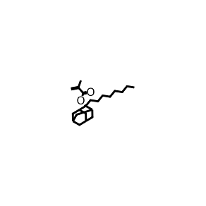 C=C(C)C(=O)OC1(CCCCCCCC)C2CC3CC(C2)CC1C3